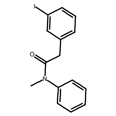 CN(C(=O)Cc1cccc(I)c1)c1ccccc1